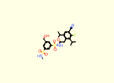 CNS(=O)(=O)c1cc(CO)cc(S(=O)(=O)NC(=O)Cc2c(C(C)C)cc(C#N)c(F)c2C(C)C)c1